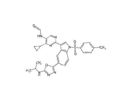 Cc1ccc(S(=O)(=O)n2cc(-c3ncc(NC=O)c(C4CC4)n3)c3cc(-c4nnc(NC(C)C)o4)ccc32)cc1